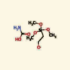 CO[Si](CC[O])(OC)OC.NC(=O)O